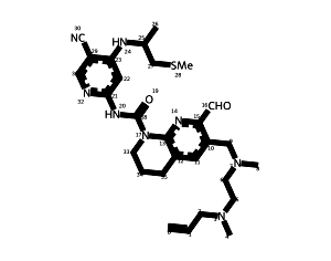 C=CCN(C)CCN(C)Cc1cc2c(nc1C=O)N(C(=O)Nc1cc(NC(C)CSC)c(C#N)cn1)CCC2